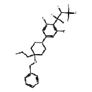 CCCC1(OCc2ccccc2)CCC(c2cc(F)c(C(F)(F)C(F)C(F)(F)F)c(F)c2)CC1